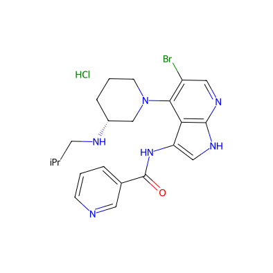 CC(C)CN[C@@H]1CCCN(c2c(Br)cnc3[nH]cc(NC(=O)c4cccnc4)c23)C1.Cl